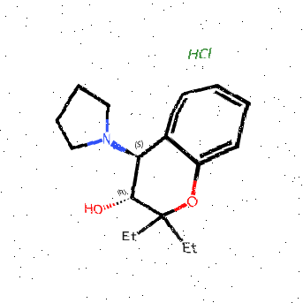 CCC1(CC)Oc2ccccc2[C@H](N2CCCC2)[C@H]1O.Cl